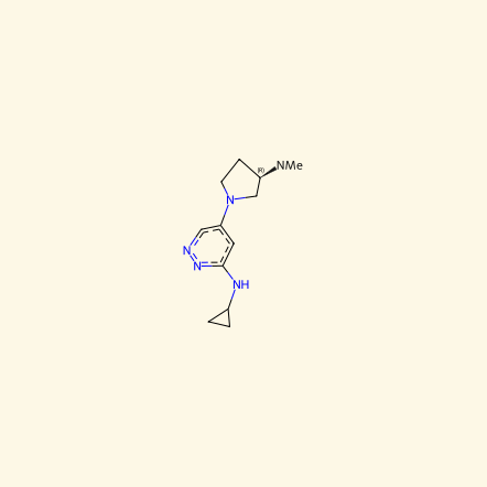 CN[C@@H]1CCN(c2cnnc(NC3CC3)c2)C1